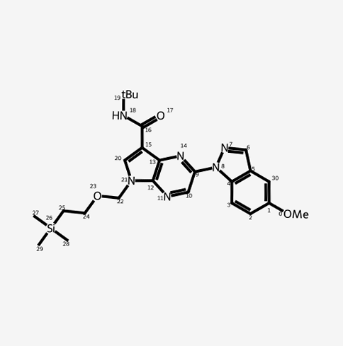 COc1ccc2c(cnn2-c2cnc3c(n2)c(C(=O)NC(C)(C)C)cn3COCC[Si](C)(C)C)c1